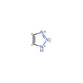 C1=CN[N+]=N1